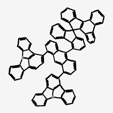 c1ccc2c(c1)-c1c(-c3c4cccc(-c5ccc6c7ccccc7n7c8ccccc8c5c67)c4cc4c(-c5ccc6c7ccccc7n7c8ccccc8c5c67)cccc34)cccc1C21c2ccccc2-c2c1c1ccccc1c1ccccc21